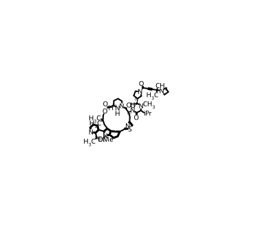 CCn1c(-c2cccnc2[C@H](C)OC)c2c3cc(ccc31)-c1nc(cs1)C[C@H](NC(=O)C(C(C)C)N(C)C(=O)[C@H]1CCN(C(=O)C#CC(C)(C)N3CCC3)C1)C(=O)N1CCC[C@H](N1)C(=O)OCC(C)(C)C2